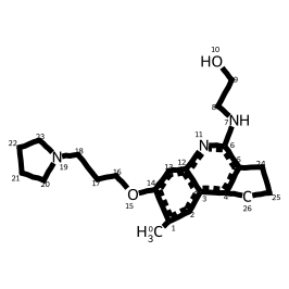 Cc1cc2c3c(c(NCCO)nc2cc1OCCCN1CCCC1)CCC3